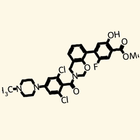 COC(=O)c1cc(F)c(-c2cccc3c2OCN(C(=O)c2c(Cl)cc(N4CCN(C)CC4)cc2Cl)C3)cc1O